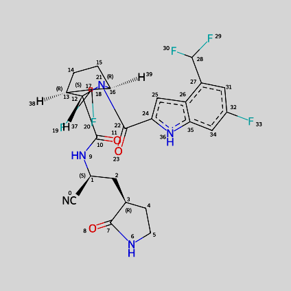 N#C[C@H](C[C@H]1CCNC1=O)NC(=O)[C@@H]1[C@H]2CC[C@H](CC2(F)F)N1C(=O)c1cc2c(C(F)F)cc(F)cc2[nH]1